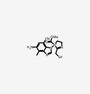 COC(=O)[N+]1(n2cnc3c(C)c(N)cc(C#N)c32)CCN=C1CS